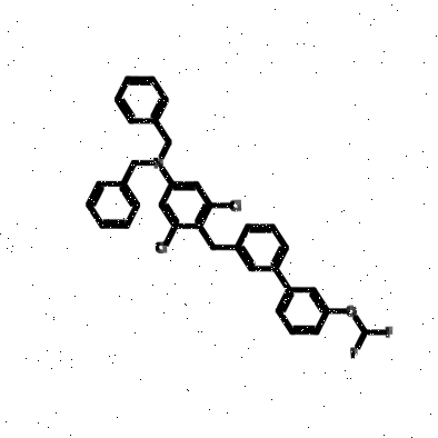 FC(F)Oc1cccc(-c2cccc(Cc3c(Cl)cc(N(Cc4ccccc4)Cc4ccccc4)cc3Cl)c2)c1